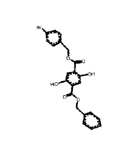 O=C(OCc1ccccc1)c1cc(O)c(C(=O)OCc2ccc(Br)cc2)cc1O